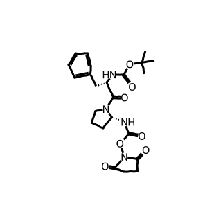 CC(C)(C)OC(=O)N[C@@H](Cc1ccccc1)C(=O)N1CCC[C@H]1NC(=O)ON1C(=O)CCC1=O